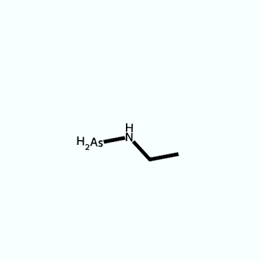 CCN[AsH2]